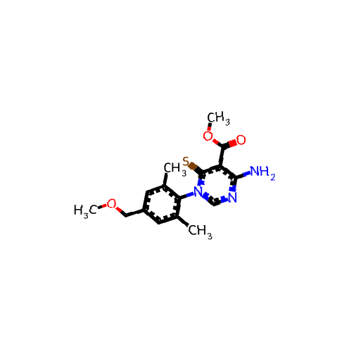 COCc1cc(C)c(-n2cnc(N)c(C(=O)OC)c2=S)c(C)c1